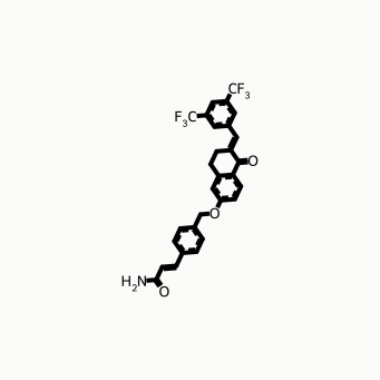 NC(=O)/C=C/c1ccc(COc2ccc3c(c2)CC/C(=C\c2cc(C(F)(F)F)cc(C(F)(F)F)c2)C3=O)cc1